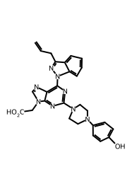 C=CCc1nn(-c2nc(N3CCN(c4ccc(O)cc4)CC3)nc3c2ncn3CC(=O)O)c2ccccc12